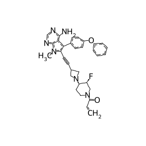 C=CC(=O)N1CC[C@@H](N2CC(C#Cc3c(-c4ccc(Oc5ccccc5)cc4)c4c(N)ncnc4n3C)C2)[C@@H](F)C1